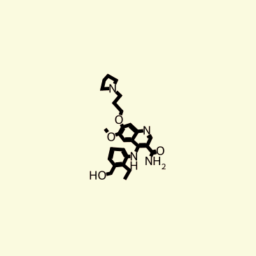 CCc1c(CO)cccc1Nc1c(C(N)=O)cnc2cc(OCCCN3CCCC3)c(OC)cc12